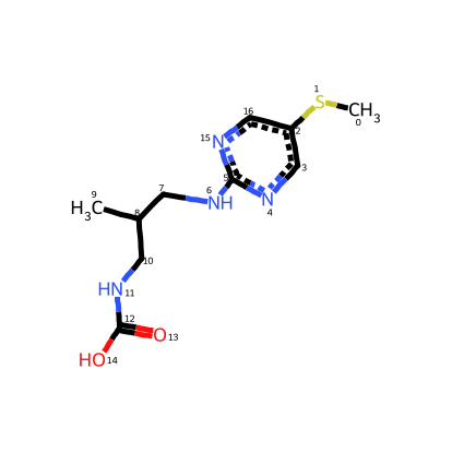 CSc1cnc(NCC(C)CNC(=O)O)nc1